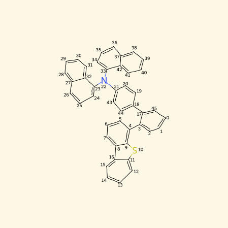 c1ccc(-c2cccc3c2sc2ccccc23)c(-c2ccc(N(c3cccc4ccccc34)c3cccc4ccccc34)cc2)c1